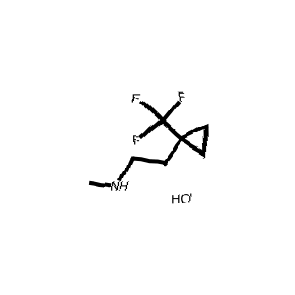 CNCCC1(C(F)(F)F)CC1.Cl